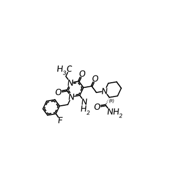 CCn1c(=O)c(C(=O)CN2CCCC[C@@H]2C(N)=O)c(N)n(Cc2ccccc2F)c1=O